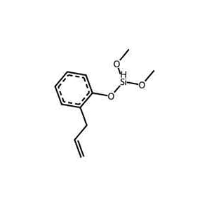 C=CCc1ccccc1O[SiH](OC)OC